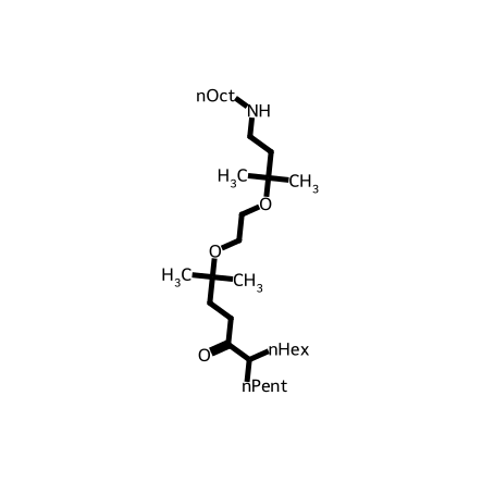 CCCCCCCCNCCC(C)(C)OCCOC(C)(C)CCC(=O)C(CCCCC)CCCCCC